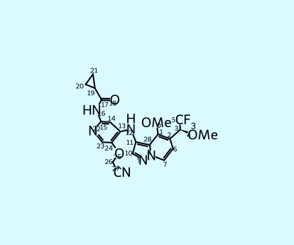 COc1c([C@H](OC)C(F)(F)F)ccn2ncc(Nc3cc(NC(=O)C4CC4)ncc3OCC#N)c12